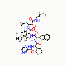 C=CCNC(=O)C(=O)C(CC1CC1)NC(=O)[C@@H]1[C@@H]2[C@H](CN1C(=O)[C@@H](NC(=O)[C@@H](NC(=O)c1cnccn1)C1CCCCC1)C1Cc3ccccc3C1)C2(C)C